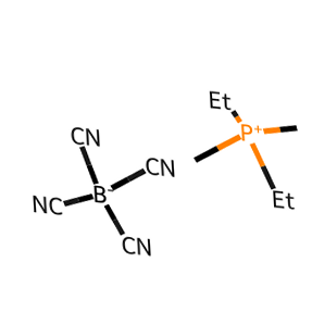 CC[P+](C)(C)CC.N#C[B-](C#N)(C#N)C#N